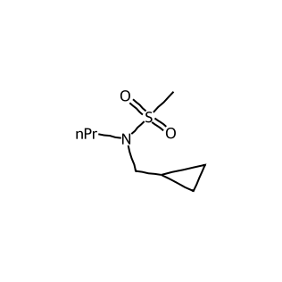 CCCN(CC1CC1)S(C)(=O)=O